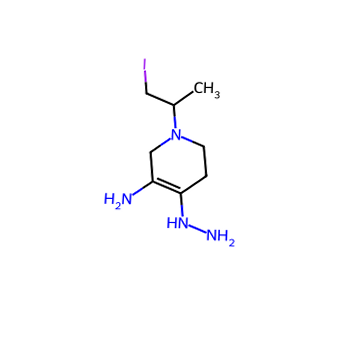 CC(CI)N1CCC(NN)=C(N)C1